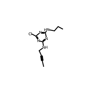 CC#CCNc1nc(Cl)nc(NCCC)n1